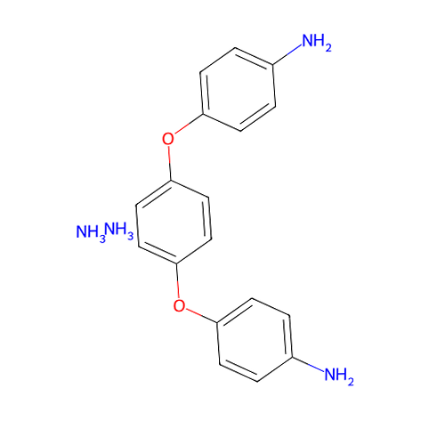 N.N.Nc1ccc(Oc2ccc(Oc3ccc(N)cc3)cc2)cc1